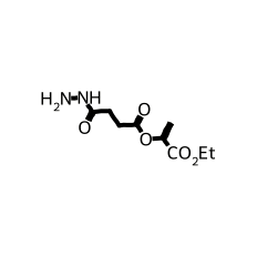 C=C(OC(=O)CCC(=O)NN)C(=O)OCC